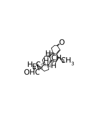 CC[C@@]1(C=O)CC[C@H]2[C@@H]3C=C(C)C4=CC(=O)CC[C@]4(C)[C@H]3CC[C@@]21C